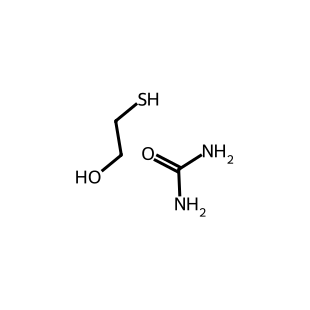 NC(N)=O.OCCS